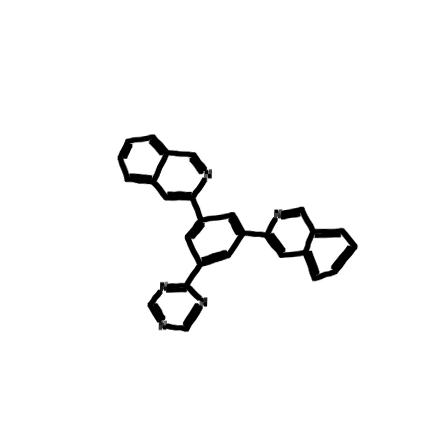 c1ccc2cc(-c3cc(-c4cc5ccccc5cn4)cc(-c4ncncn4)c3)ncc2c1